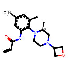 C=CC(=O)Nc1cc([N+](=O)[O-])cc(C)c1N1CCN(C2COC2)C[C@@H]1C